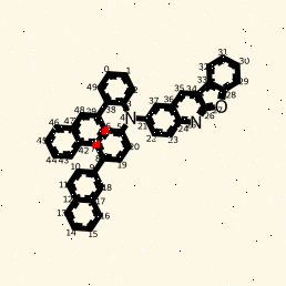 c1ccc(N(c2ccc(-c3ccc4ccccc4c3)cc2)c2ccc3nc4oc5ccccc5c4cc3c2)c(-c2ccc3ccccc3c2)c1